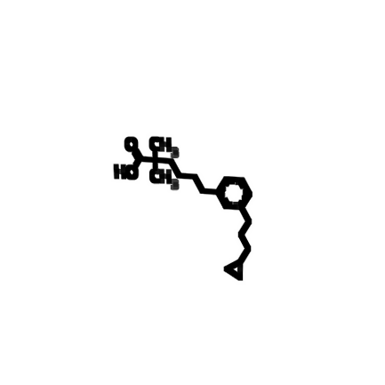 CC(C)(CCCCc1cccc(CCCC2CC2)c1)C(=O)O